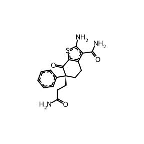 NC(=O)CC[C@]1(c2ccccc2)CCc2c(sc(N)c2C(N)=O)C1=O